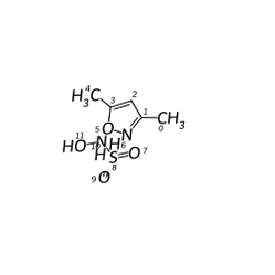 Cc1cc(C)on1.O=[SH](=O)NO